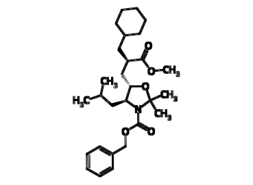 COC(=O)[C@H](CC1CCCCC1)C[C@@H]1OC(C)(C)N(C(=O)OCc2ccccc2)[C@H]1CC(C)C